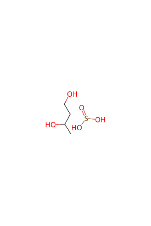 CC(O)CCO.O=S(O)O